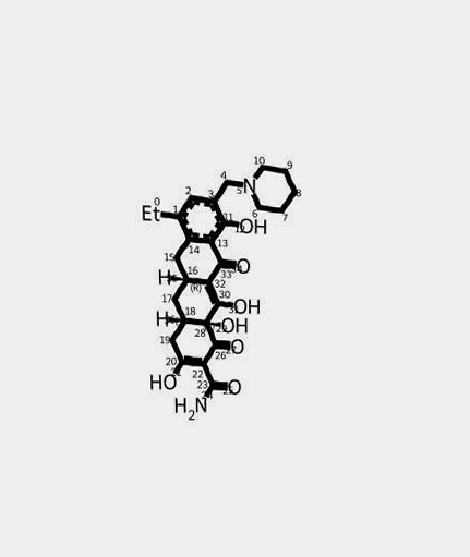 CCc1cc(CN2CCCCC2)c(O)c2c1C[C@H]1C[C@H]3CC(O)=C(C(N)=O)C(=O)[C@@]3(O)C(O)=C1C2=O